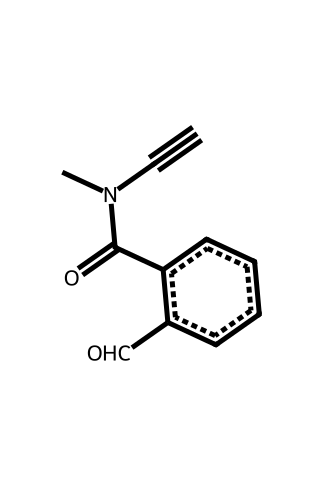 C#CN(C)C(=O)c1ccccc1C=O